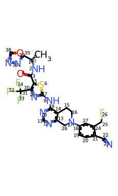 C[C@@H](NC(=O)c1sc(Nc2ncnc3c2CCN(c2ccc(C#N)c(CF)c2)C3)nc1C(F)(F)F)c1nnco1